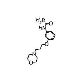 BC(=O)Nc1cccc(OCCCN2CCOCC2)c1